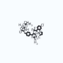 Cc1ccn(-c2cc(Cl)ccc2[C@@H](Oc2cc(-c3ccc(C[C@@H](NC(=O)OC(C)(C)C)C(=O)O)cc3)nc(N)n2)C(F)(F)F)n1